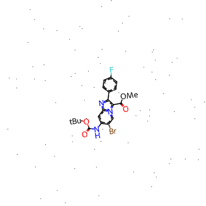 COC(=O)c1c(-c2ccc(F)cc2)nc2cc(NC(=O)OC(C)(C)C)c(Br)cn12